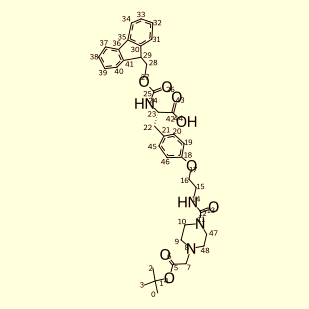 CC(C)(C)OC(=O)CN1CCN(C(=O)NCCOc2ccc(C[C@H](NC(=O)OCC3c4ccccc4-c4ccccc43)C(=O)O)cc2)CC1